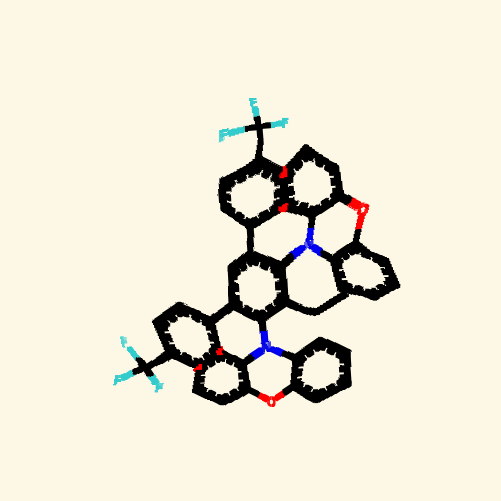 CCc1c(N2c3ccccc3Oc3ccccc32)c(-c2ccc(C(F)(F)F)cc2)cc(-c2ccc(C(F)(F)F)cc2)c1N1c2ccccc2Oc2ccccc21